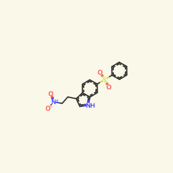 O=[N+]([O-])CCc1c[nH]c2cc(S(=O)(=O)c3ccccc3)ccc12